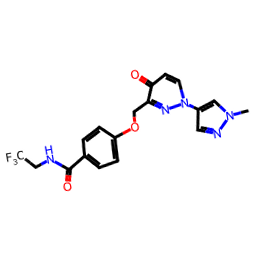 Cn1cc(-n2ccc(=O)c(COc3ccc(C(=O)NCC(F)(F)F)cc3)n2)cn1